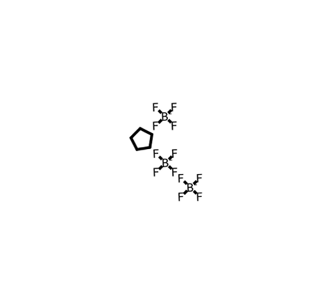 C1CCCC1.F[B-](F)(F)F.F[B-](F)(F)F.F[B-](F)(F)F